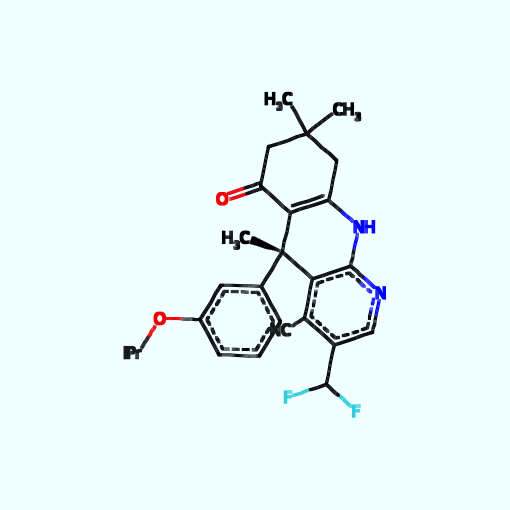 CC(C)Oc1cccc([C@]2(C)C3=C(CC(C)(C)CC3=O)Nc3ncc(C(F)F)c(C#N)c32)c1